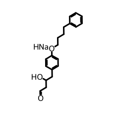 O=CCC(O)Cc1ccc(OCCCCc2ccccc2)cc1.[NaH]